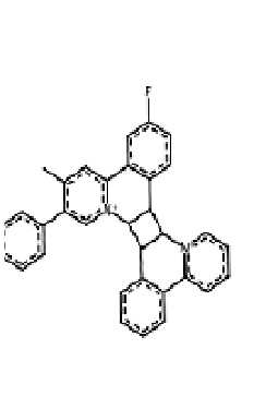 Cc1cc2[n+](cc1-c1ccncc1)C1C3c4ccccc4-c4cccc[n+]4C3C1c1ccc(F)cc1-2